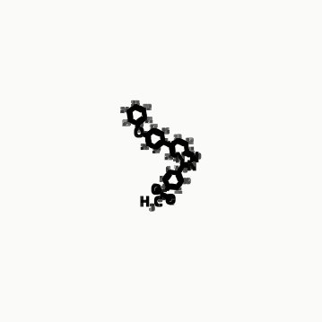 CS(=O)(=O)c1ccc(-c2nnc3ccc(-c4ccc(Oc5ccccc5)cc4)cn23)cc1